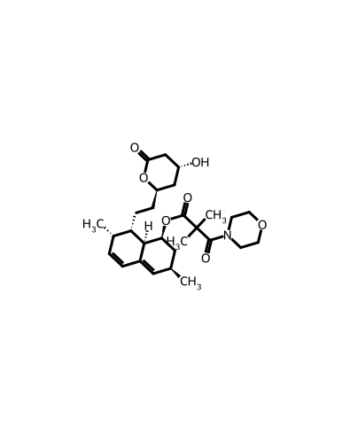 C[C@H]1C=C2C=C[C@H](C)[C@H](CC[C@@H]3C[C@@H](O)CC(=O)O3)[C@H]2[C@@H](OC(=O)C(C)(C)C(=O)N2CCOCC2)C1